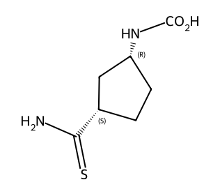 NC(=S)[C@H]1CC[C@@H](NC(=O)O)C1